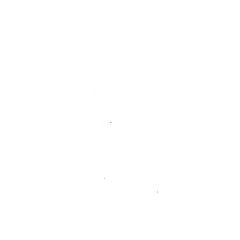 O=C(O)c1cc(CCNC(=O)c2cc3ccccc3o2)no1